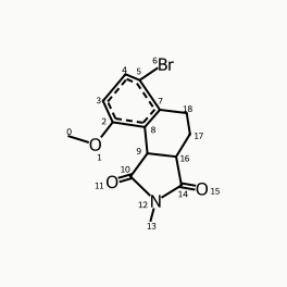 COc1ccc(Br)c2c1C1C(=O)N(C)C(=O)C1CC2